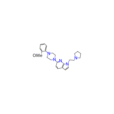 COc1ccccc1N1CCN(c2ccc3ccn(CCN4CCCC4)c3n2)CC1